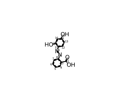 O=C(O)c1ccccc1N=Nc1ccc(O)cc1O